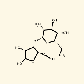 NC[C@@H]1O[C@H](O[C@@H]2[C@@H](CO)OC(O)[C@@H]2O)[C@H](N)[C@@H](O)[C@@H]1O